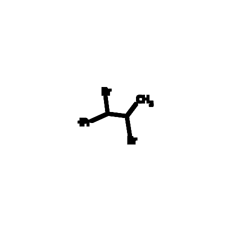 C[C](C)C(Br)C(C)Br